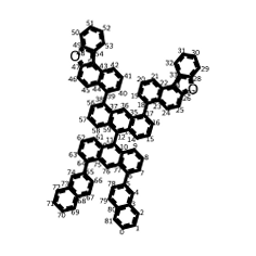 c1ccc2cc(-c3cccc4c(-c5c6cccc(-c7cccc8c7ccc7oc9ccccc9c78)c6cc6c(-c7cccc8c7ccc7oc9ccccc9c78)cccc56)c5cccc(-c6ccc7ccccc7c6)c5cc34)ccc2c1